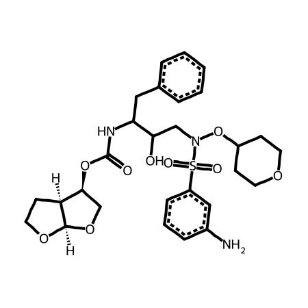 Nc1cccc(S(=O)(=O)N(CC(O)C(Cc2ccccc2)NC(=O)O[C@H]2CO[C@H]3OCC[C@H]32)OC2CCOCC2)c1